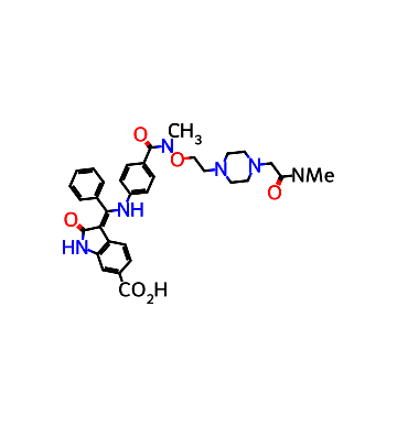 CNC(=O)CN1CCN(CCON(C)C(=O)c2ccc(NC(=C3C(=O)Nc4cc(C(=O)O)ccc43)c3ccccc3)cc2)CC1